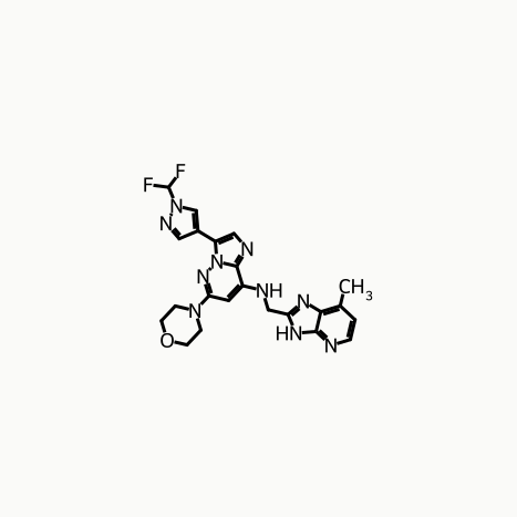 Cc1ccnc2[nH]c(CNc3cc(N4CCOCC4)nn4c(-c5cnn(C(F)F)c5)cnc34)nc12